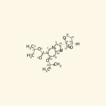 CC(C)OC(=O)c1cn2cc([C@]34CO[C@H](CCO3)C4)nc2cc1OC(C)C